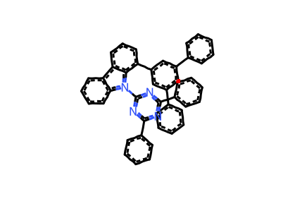 c1ccc(-c2cc(-c3ccccc3)cc(-c3cccc4c5ccccc5n(-c5nc(-c6ccccc6)nc(-c6ccccc6)n5)c34)c2)cc1